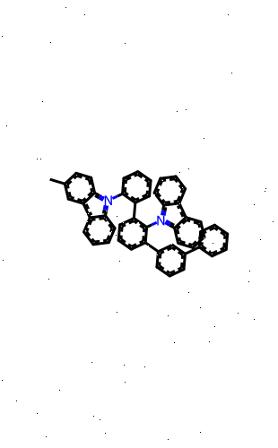 Cc1ccc2c(c1)c1ccccc1n2-c1ccccc1-c1cccc(-c2cccc(-c3ccccc3)c2)c1-n1c2ccccc2c2ccccc21